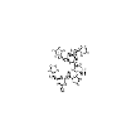 Clc1cc(NC2CCCC2)nc(NC2CCCC2)n1.c1c(NC2CCCC2)nc(NC2CCCC2)nc1N1CCNCC1